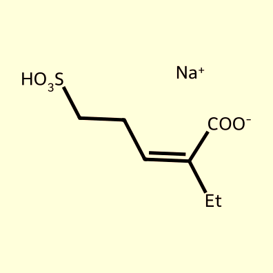 CCC(=CCCS(=O)(=O)O)C(=O)[O-].[Na+]